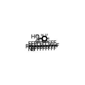 FC(F)(F)C(F)(F)C(F)(F)C(F)(F)C(F)(F)C(F)(F)C(F)(F)C(F)(F)C(F)(F)[C](F)(F)[Na].O=C(O)c1ccccc1